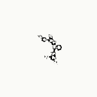 Cc1cc(C)n2nc(C(=O)N3CCCC[C@H]3c3cc4nc(N5CC[C@H](N)C5)c(C)cn4n3)nc2n1